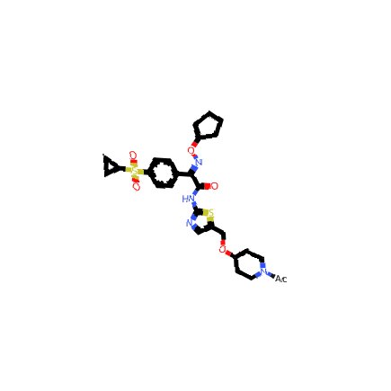 CC(=O)N1CCC(OCc2cnc(NC(=O)/C(=N/OC3CCCC3)c3ccc(S(=O)(=O)C4CC4)cc3)s2)CC1